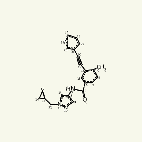 Cc1ccc(C(=O)Nc2cnn(CC3CC3)c2)cc1C#Cc1cccnc1